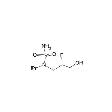 CC(C)N(CC(F)CO)S(N)(=O)=O